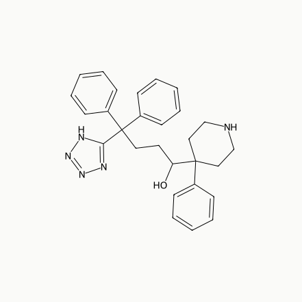 OC(CCC(c1ccccc1)(c1ccccc1)c1nnn[nH]1)C1(c2ccccc2)CCNCC1